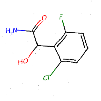 NC(=O)C(O)c1c(F)cccc1Cl